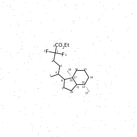 CCOC(=O)C(F)(F)CCC(C)C1CCC2[C@@H](C)CCC[C@]12C